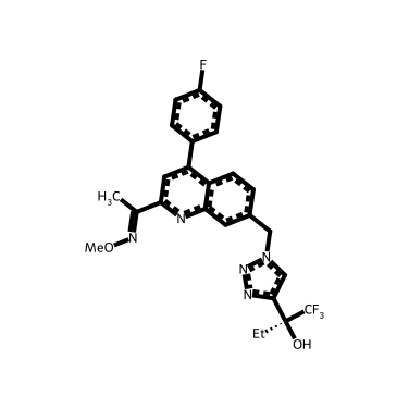 CC[C@](O)(c1cn(Cc2ccc3c(-c4ccc(F)cc4)cc(C(C)=NOC)nc3c2)nn1)C(F)(F)F